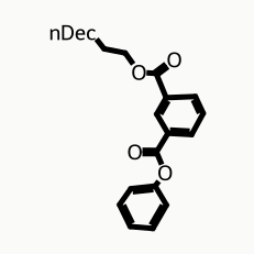 CCCCCCCCCCCCOC(=O)c1cccc(C(=O)Oc2ccccc2)c1